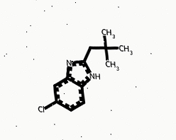 CC(C)(C)Cc1nc2cc(Cl)ccc2[nH]1